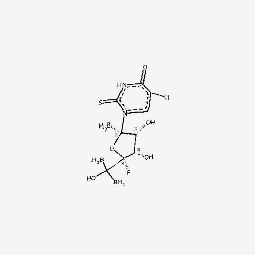 BC(B)(O)[C@@]1(F)O[C@@](B)(n2cc(Cl)c(=O)[nH]c2=S)[C@H](O)[C@@H]1O